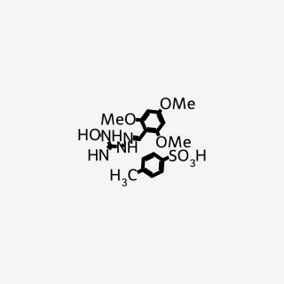 COc1cc(OC)c(/C=N/NC(=N)NO)c(OC)c1.Cc1ccc(S(=O)(=O)O)cc1